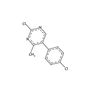 Cc1nc(Cl)ncc1-c1ccc(Cl)cc1